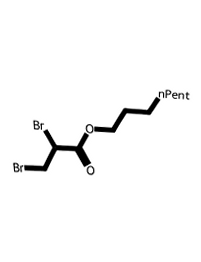 CCCCCCCCOC(=O)C(Br)CBr